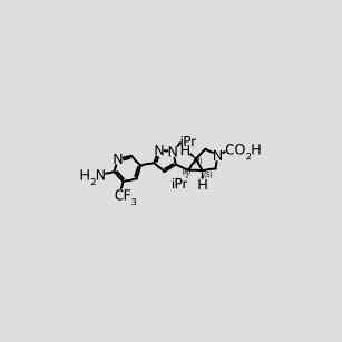 CC(C)n1nc(-c2cnc(N)c(C(F)(F)F)c2)cc1[C@@]1(C(C)C)[C@@H]2CN(C(=O)O)C[C@@H]21